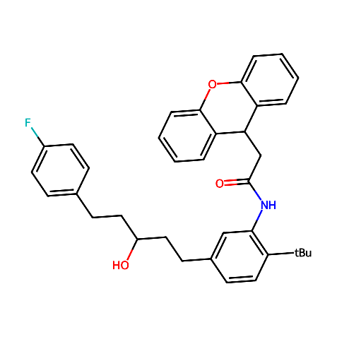 CC(C)(C)c1ccc(CCC(O)CCc2ccc(F)cc2)cc1NC(=O)CC1c2ccccc2Oc2ccccc21